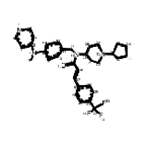 CN(c1ccncc1)c1ccc(CN(C(=O)C=Cc2ccc(C(F)(F)F)cc2)C2CCN(C3CCCC3)CC2)cc1